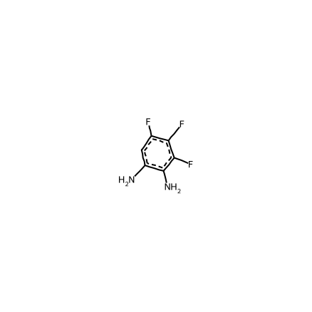 Nc1cc(F)c(F)c(F)c1N